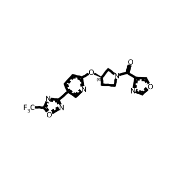 O=C(c1cocn1)N1CC[C@@H](Oc2ccc(-c3noc(C(F)(F)F)n3)cn2)C1